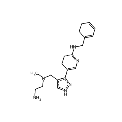 CN(CCN)Cc1c[nH]nc1C1=CN=C(NCC2=CC=CCC2)CC1